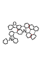 c1ccc(-c2cccc3cccc(-c4ccccc4N(c4ccc(-c5cccc6c5c5ccccc5n6-c5ccccc5)cc4)c4ccccc4-c4ccc5c(c4)oc4ccccc45)c23)cc1